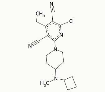 CCc1c(C#N)c(Cl)nc(N2CCC(N(C)C3CCC3)CC2)c1C#N